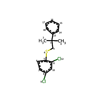 CC(C)(CSc1ccc(Cl)cc1Cl)c1ccccc1